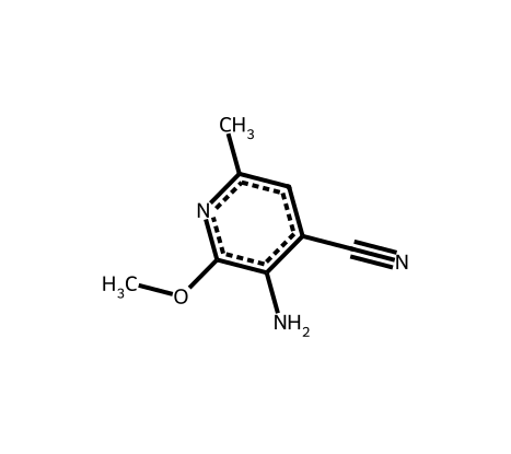 COc1nc(C)cc(C#N)c1N